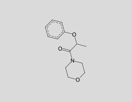 CC(Oc1ccccc1)C(=O)N1CCOCC1